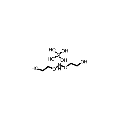 OCCONOCCO.O[Si](O)(O)O